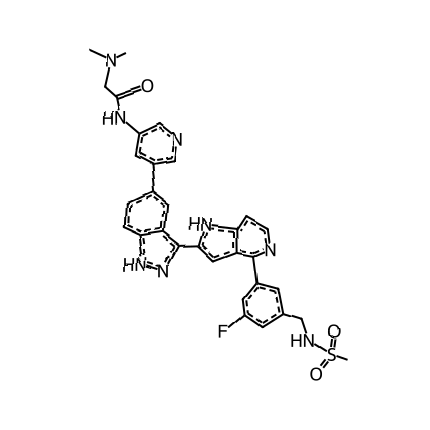 CN(C)CC(=O)Nc1cncc(-c2ccc3[nH]nc(-c4cc5c(-c6cc(F)cc(CNS(C)(=O)=O)c6)nccc5[nH]4)c3c2)c1